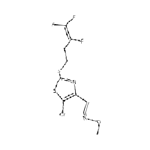 CO/N=C/c1nc(SCCC(F)=C(F)F)sc1Cl